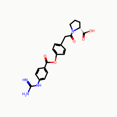 N=C(N)Nc1ccc(C(=O)Oc2ccc(CC(=O)N3CCC[C@@H]3C(=O)O)cc2)cc1